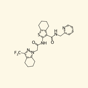 O=C(Cn1nc(C(F)(F)F)c2c1CCCC2)Nc1sc2c(c1C(=O)NCc1ccccn1)CCCC2